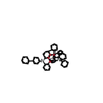 c1ccc(-c2ccc(N(c3ccc4c(c3)C3(c5ccccc5-4)c4ccccc4N(c4ccccc4)c4ccccc43)c3ccccc3-c3ccc4oc5ccccc5c4c3)cc2)cc1